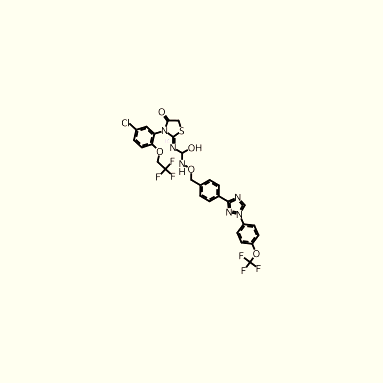 O=C1CS/C(=N\C(O)NOCc2ccc(-c3ncn(-c4ccc(OC(F)(F)F)cc4)n3)cc2)N1c1cc(Cl)ccc1OCC(F)(F)F